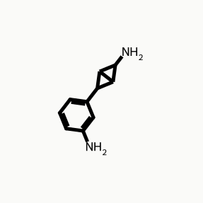 Nc1cccc(C2C3C(N)C23)c1